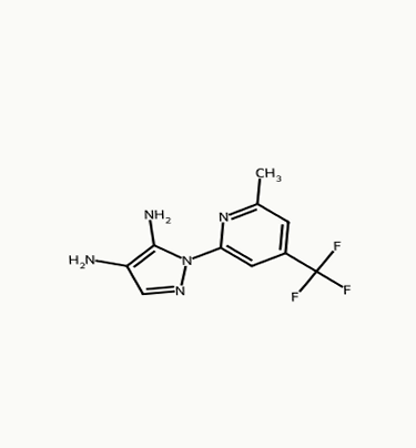 Cc1cc(C(F)(F)F)cc(-n2ncc(N)c2N)n1